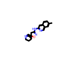 Cc1ccc2cc(NC3=NOC4(C3)CN3CCC4CC3)ncc2c1